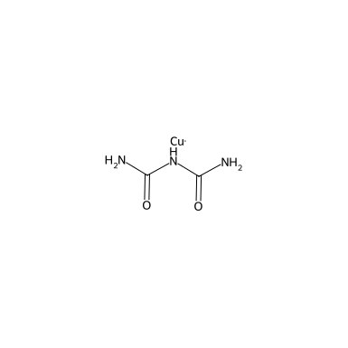 NC(=O)NC(N)=O.[Cu]